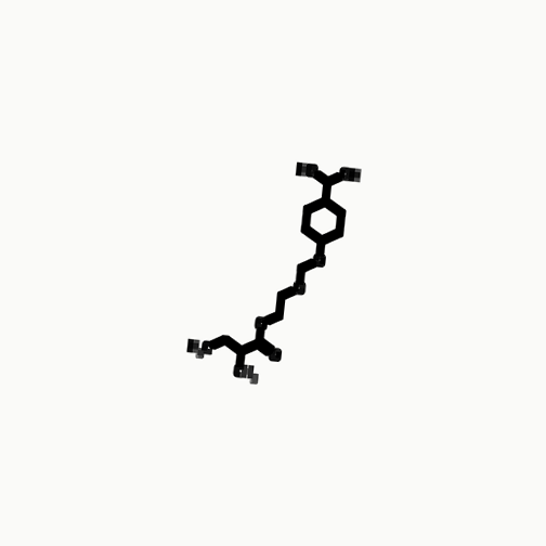 CCC(C)C(=O)OCCOCOC1CCC(C(O)O)CC1